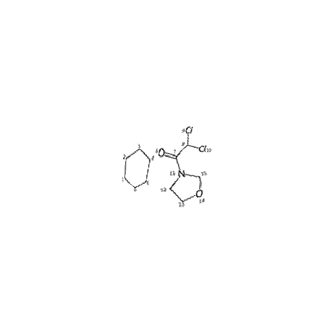 C1CCCCC1.O=C(C(Cl)Cl)N1CCOC1